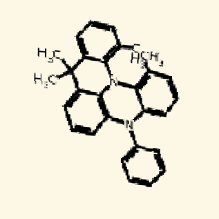 Cc1cccc2c1N1c3c(C)cccc3C(C)(C)c3cccc(c31)N2c1ccccc1